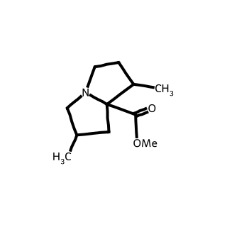 COC(=O)C12CC(C)CN1CCC2C